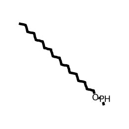 CCCCCCCCCCCCCCCCCCOPC